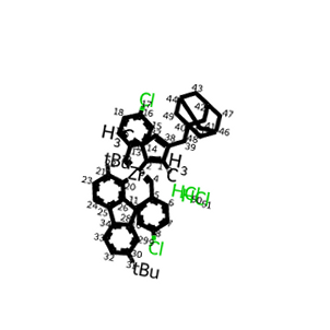 CC1=[C]([Zr](=[CH]c2ccc(Cl)cc2)(=[CH]c2ccc(Cl)cc2)[c]2c(C(C)(C)C)ccc3c2Cc2cc(C(C)(C)C)ccc2-3)C(C)C=C1CC12CC3CC(CC(C3)C1)C2.Cl.Cl